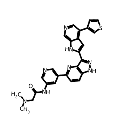 CN(C)CC(=O)Nc1cncc(-c2ccc3[nH]nc(-c4cc5c(-c6ccsc6)cncc5[nH]4)c3n2)c1